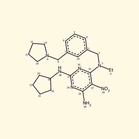 CCN(Cc1cccc(CN2CCCC2)c1)c1nc(NC2CCCC2)nc(N)c1[N+](=O)[O-]